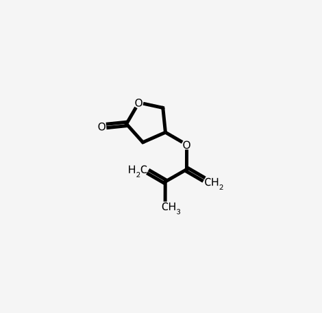 C=C(C)C(=C)OC1COC(=O)C1